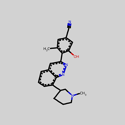 Cc1cc(C#N)cc(O)c1-c1cc2cccc(C3CCCN(C)C3)c2nn1